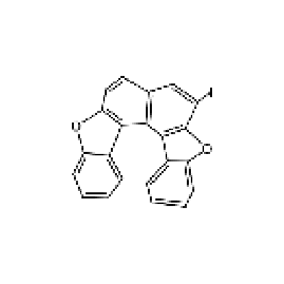 Ic1cc2ccc3oc4ccccc4c3c2c2c1oc1ccccc12